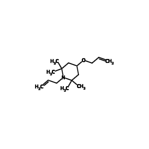 C=CCOC1CC(C)(C)N(CC=C)C(C)(C)C1